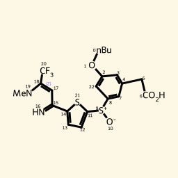 CCCCOc1cc(CC(=O)O)cc([S+]([O-])c2ccc(C(=N)/C=C(\NC)C(F)(F)F)s2)c1